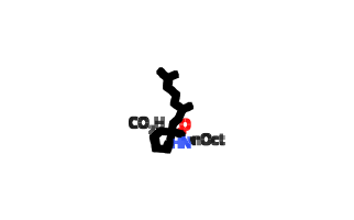 CCCCCCCCNC(=O)C1(CCC(C)CCC=C(C)C)C=CC=CC1C(=O)O